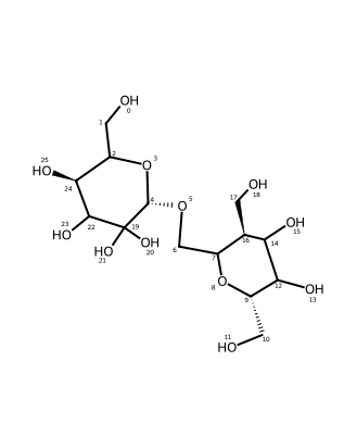 OCC1O[C@H](OCC2O[C@@H](CO)C(O)C(O)[C@@H]2CO)C(O)(O)C(O)[C@H]1O